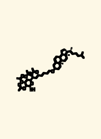 CC(=O)OC(CCCCCCO[C@@H]1CC[C@@]2(C)C(=CCC3C2CC[C@@]2(C)C3CC[C@@H]2[C@H](C)CCCC(C)C)C1)[C@H]1O[C@H](S)[C@@H](OC(C)=O)[C@@H](OC(C)=O)[C@@H]1OC(C)=O